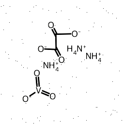 O=C([O-])C(=O)[O-].[NH4+].[NH4+].[NH4+].[O]=[V](=[O])[O-]